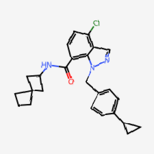 O=C(NC1CC2(CCC2)C1)c1ccc(Cl)c2cnn(Cc3ccc(C4CC4)cc3)c12